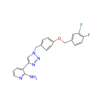 Nc1ncccc1-c1cn(Cc2ccc(OCc3ccc(F)c(F)c3)cc2)nn1